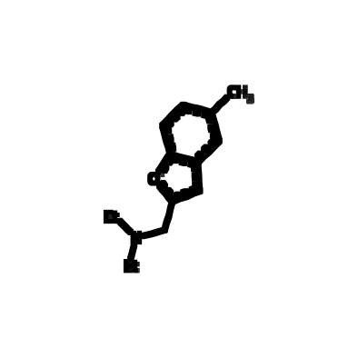 CCN(CC)Cc1cc2cc(C)ccc2o1